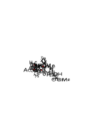 CC[C@]12C=CCN3CC[C@@]4(c5cc([C@@]6(C(=O)OC)C[C@H]7CN(CCc8c6[nH]c6ccccc86)C[C@](O)(CCC(=O)OC)C7)c(OC)cc5N(C)[C@H]4[C@@](O)(C(=O)OC)[C@@H]1OC(C)=O)[C@@H]32